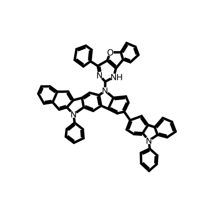 c1ccc(C2=NC(n3c4ccc(-c5ccc6c(c5)c5ccccc5n6-c5ccccc5)cc4c4cc5c(cc43)c3cc4ccccc4cc3n5-c3ccccc3)Nc3c2oc2ccccc32)cc1